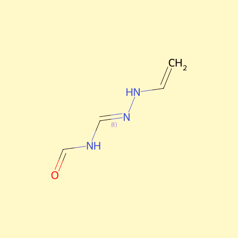 C=CN/N=C/NC=O